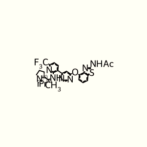 CC(=O)Nc1nc2c(Oc3cc(-c4ccc(C(F)(F)F)nc4N[C@@H](C)[C@@H]4CCCN4C(C)C)ncn3)cccc2s1